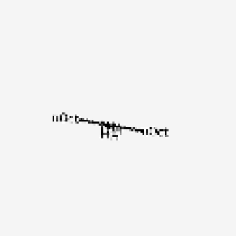 CCCCCCCCC=CCCCCCCCCNCC(O)CNCCCCCCCCC=CCCCCCCCC